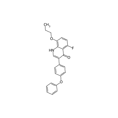 CCCOc1ccc(F)c2c(=O)c(-c3ccc(Oc4ccccc4)cc3)c[nH]c12